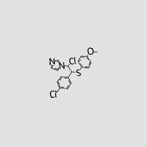 COc1ccc(SC(c2ccc(Cl)cc2)C(Cl)n2ccnc2)cc1